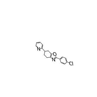 Clc1ccc(-c2nc3c(o2)CC(c2ccccn2)CC3)cc1